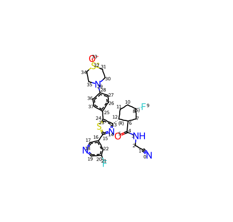 N#CCNC(=O)C1C[C@@H](F)CC[C@H]1c1nc(-c2cncc(F)c2)sc1-c1ccc(N2CC[S+]([O-])CC2)cc1